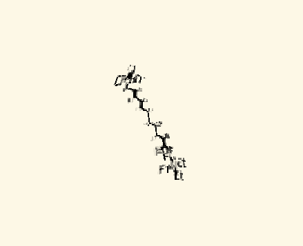 CC[N+](CC)(CC)CC.O=S(=O)([O-])CCCCCCCCCCC(F)F